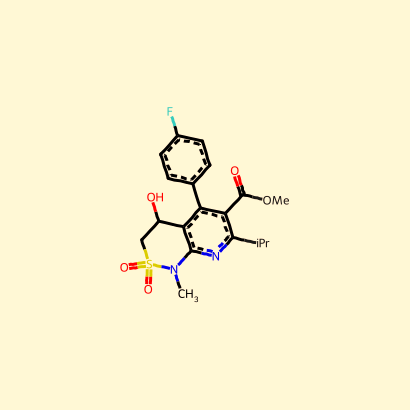 COC(=O)c1c(C(C)C)nc2c(c1-c1ccc(F)cc1)C(O)CS(=O)(=O)N2C